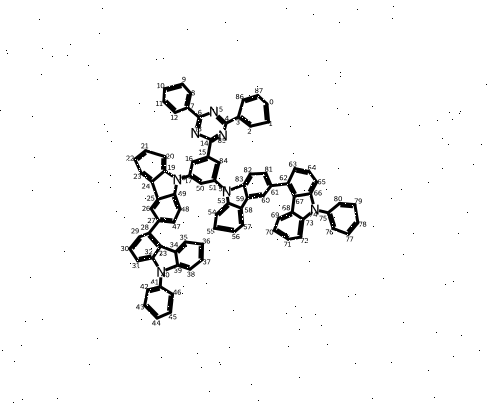 c1ccc(-c2nc(-c3ccccc3)nc(-c3cc(-n4c5ccccc5c5cc(-c6cccc7c6c6ccccc6n7-c6ccccc6)ccc54)cc(-n4c5ccccc5c5cc(-c6cccc7c6c6ccccc6n7-c6ccccc6)ccc54)c3)n2)cc1